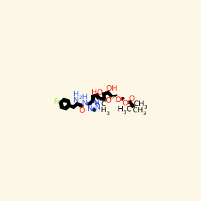 CC(C)(C)C(=O)OCOC[C@H]1O[C@@](C)(c2ccc3c(NC(=O)[C@@H](N)Cc4ccc(F)cc4)ncnn23)[C@H](O)[C@@H]1O